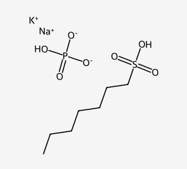 CCCCCCCS(=O)(=O)O.O=P([O-])([O-])O.[K+].[Na+]